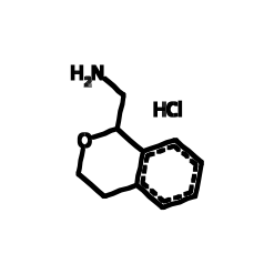 Cl.NCC1OCCc2ccccc21